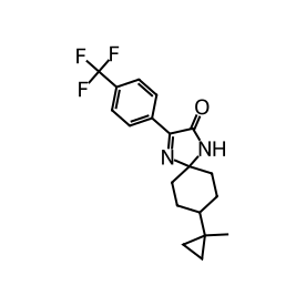 CC1(C2CCC3(CC2)N=C(c2ccc(C(F)(F)F)cc2)C(=O)N3)CC1